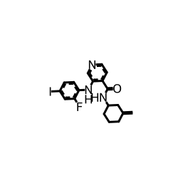 C=C1CCCC(NC(=O)c2ccncc2Nc2ccc(I)cc2F)C1